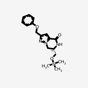 C[Si](C)(C)OC[C@@H]1Cn2nc(COc3ccccc3)cc2C(=O)N1